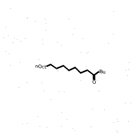 CCCCCCCCCCCCCCCC(=O)C(C)CC